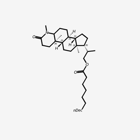 CCCCCCCCCCCCCCCC(=O)OCC(C)[C@H]1CC[C@H]2[C@@H]3CCC4N(C)C(=O)CC[C@]4(C)[C@H]3CC[C@]12C